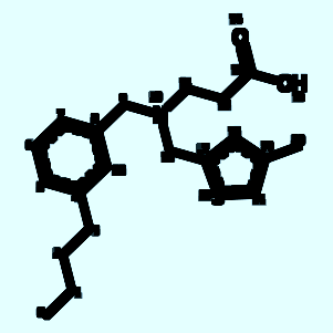 CCCCc1cccc(CN(CCC(=O)O)Cc2cc(C)cs2)c1